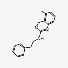 Cc1cccc2c1COC(NCCc1ccccc1)=N2